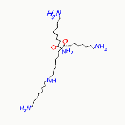 NCCCCCCCCNCCCCCCCC(N)(C(=O)CCCCCCCN)C(=O)CCCCCCCN